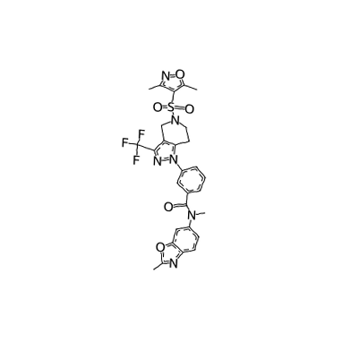 Cc1nc2ccc(N(C)C(=O)c3cccc(-n4nc(C(F)(F)F)c5c4CCN(S(=O)(=O)c4c(C)noc4C)C5)c3)cc2o1